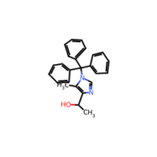 Cc1c(C(C)O)ncn1C(c1ccccc1)(c1ccccc1)c1ccccc1